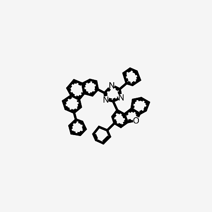 C1=CCC(c2cc(-c3nc(-c4ccccc4)nc(-c4ccc5ccc6ccc(-c7ccccc7)cc6c5c4)n3)c3c(c2)oc2ccccc23)C=C1